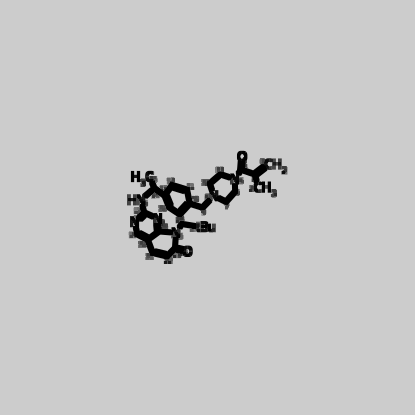 C=C(C)C(=O)N1CCN(Cc2ccc(C(C)Nc3ncc4ccc(=O)n(CC(C)(C)C)c4n3)cc2)CC1